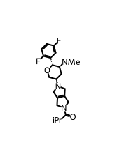 CN[C@H]1C[C@@H](N2CC3=C(CN(C(=O)C(C)C)C3)C2)CO[C@@H]1c1cc(F)ccc1F